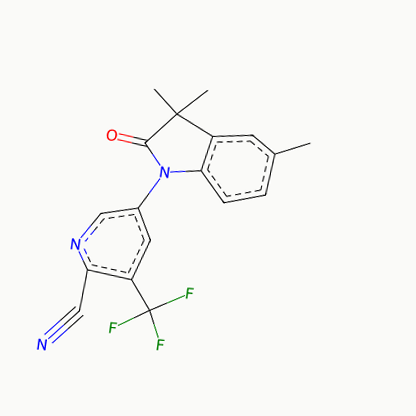 Cc1ccc2c(c1)C(C)(C)C(=O)N2c1cnc(C#N)c(C(F)(F)F)c1